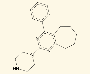 c1ccc(-c2nc(N3CCNCC3)nc3c2CCCCC3)cc1